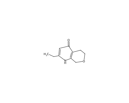 CCc1cc(=O)c2c([nH]1)COCC2